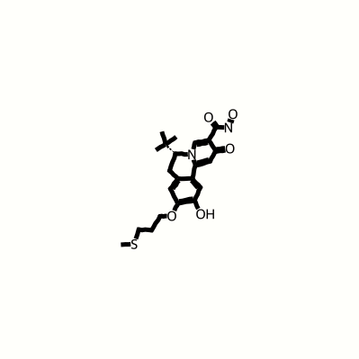 CSCCCOc1cc2c(cc1O)-c1cc(=O)c(C(=O)N=O)cn1[C@@H](C(C)(C)C)C2